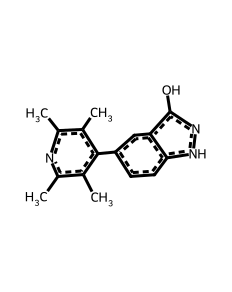 Cc1nc(C)c(C)c(-c2ccc3[nH]nc(O)c3c2)c1C